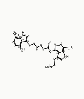 CNCCc1c[nH]c2c(C)ncc(OC(=O)CCNCCc3c[nH]c4c(C)ncc(O)c34)c12